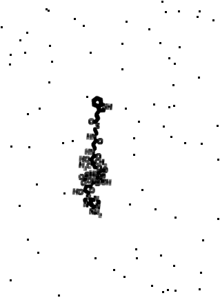 CC(C)(COP(=O)(O)OP(=O)(O)OC[C@H]1O[C@@H](n2cnc3c(N)ncnc32)[C@H](O)[C@@H]1OP(=O)(O)O)C(O)C(=O)NCCC(=O)NCCSC(=O)/C=C/c1c[nH]c2ccccc12